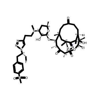 CC[C@H]1OC(=O)[C@H](C)C(=O)[C@H](C)[C@@H](O[C@@H]2O[C@H](C)C[C@H](N(C)CCc3cn([C@H](CF)Cc4ccc(S(C)(=O)=O)cc4)nn3)[C@H]2O)[C@]2(C)CCC(=O)CC[C@H]([C@@H](C)/C(=N/C(C)=O)[C@H](C)C2)[C@]1(C)O